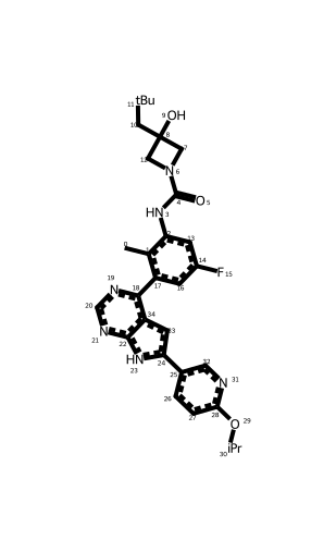 Cc1c(NC(=O)N2CC(O)(CC(C)(C)C)C2)cc(F)cc1-c1ncnc2[nH]c(-c3ccc(OC(C)C)nc3)cc12